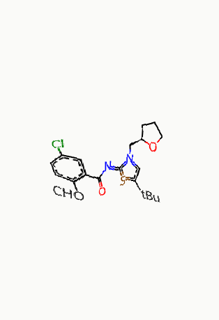 CC(C)(C)c1cn(C[C@H]2CCCO2)/c(=N/C(=O)c2cc(Cl)ccc2C=O)s1